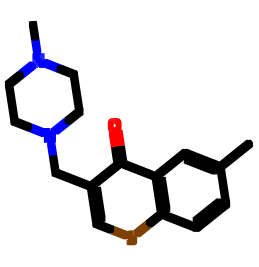 Cc1ccc2scc(CN3CCN(C)CC3)c(=O)c2c1